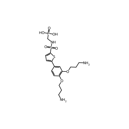 NCCCOc1ccc(-c2ccc(S(=O)(=O)NCP(=O)(O)O)s2)cc1OCCCN